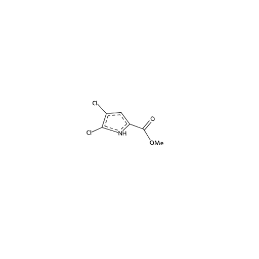 COC(=O)c1cc(Cl)c(Cl)[nH]1